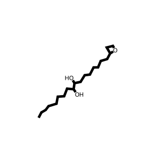 CCCCCCCCC(O)C(O)CCCCCCCC1CCO1